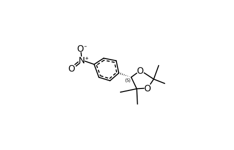 CC1(C)O[C@@H](c2ccc([N+](=O)[O-])cc2)C(C)(C)O1